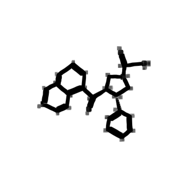 O=C(c1cccc2cnccc12)[C@H]1CN(C(=O)O)C[C@@H]1c1ccccc1